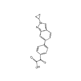 O=C(O)C(=O)c1ccc(-c2ccc3cn(C4CC4)nc3c2)cc1